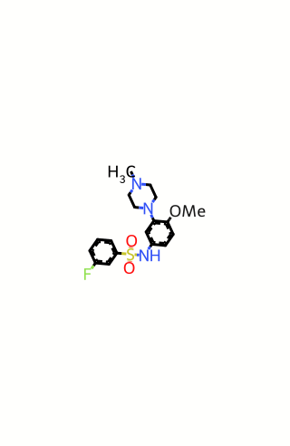 COc1ccc(NS(=O)(=O)c2cccc(F)c2)cc1N1CCN(C)CC1